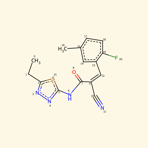 CCc1nnc(NC(=O)C(C#N)=Cc2cc(C)ccc2F)s1